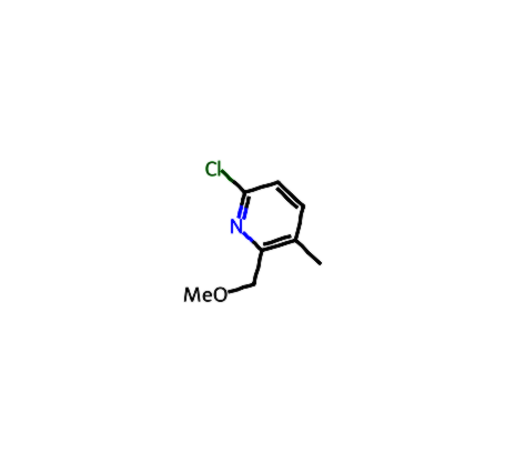 COCc1nc(Cl)ccc1C